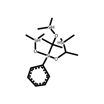 CC(O[Si](O[SiH](C)C)(c1ccccc1)C(C)(C)O[SiH](C)C)[SiH](C)C